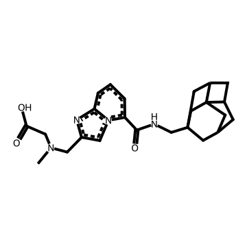 CN(CC(=O)O)Cc1cn2c(C(=O)NCC34CC5CC6CC(C3)C6(C5)C4)cccc2n1